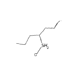 [CH2]CCC(CCC)[SiH2]Cl